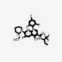 CCC(NC(=O)c1cn(-c2c(F)cc(F)cc2F)c2nc(N3CCCC[C@H]3CO)c(F)cc2c1=O)C(F)(F)F